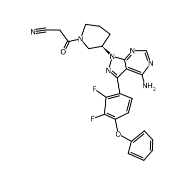 N#CCC(=O)N1CCC[C@@H](n2nc(-c3ccc(Oc4ccccc4)c(F)c3F)c3c(N)ncnc32)C1